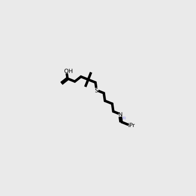 C=C(O)CCC(C)(C)CSCCCC/N=C/C(C)C